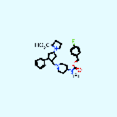 CCCN(C(=O)OCc1ccc(F)cc1)C1CCN(CC2CC(N3CCC[C@H]3C(=O)O)CC2c2ccccc2)CC1